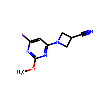 COc1nc(I)cc(N2CC(C#N)C2)n1